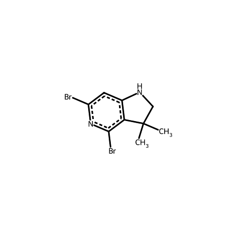 CC1(C)CNc2cc(Br)nc(Br)c21